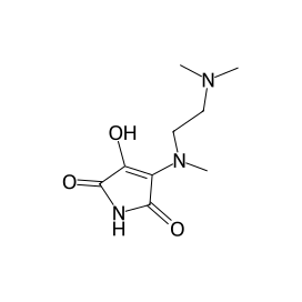 CN(C)CCN(C)C1=C(O)C(=O)NC1=O